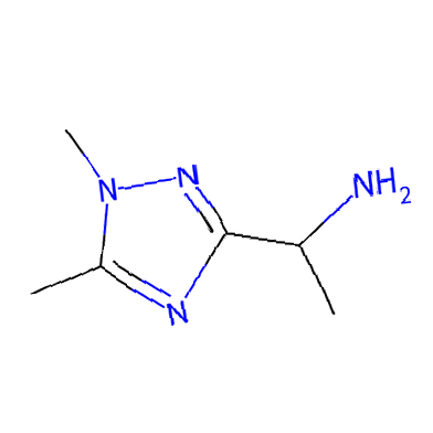 Cc1nc(C(C)N)nn1C